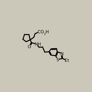 CCc1nc2ccc(CCCNC(=O)C3(CCC(=O)O)CCCC3)cc2s1